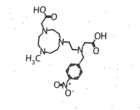 CN1CCN(CCN(CC(=O)O)Cc2ccc([N+](=O)[O-])cc2)CCN(CC(=O)O)CC1